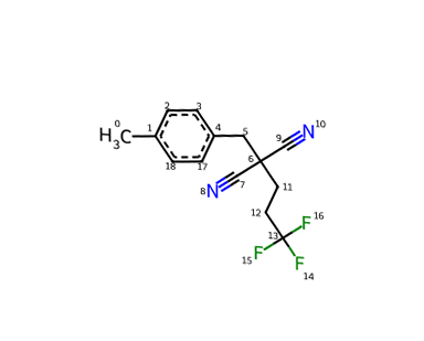 Cc1ccc(CC(C#N)(C#N)CCC(F)(F)F)cc1